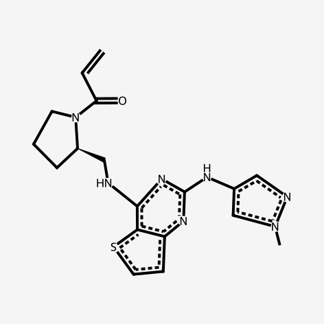 C=CC(=O)N1CCC[C@@H]1CNc1nc(Nc2cnn(C)c2)nc2ccsc12